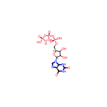 O=c1[nH]c(=O)c2ncn([C@H]3O[C@@H](COP(=O)(O)OP(=O)(O)OP(=O)(O)O)C(O)C3O)c2[nH]1